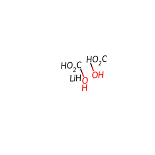 O=C(O)O.O=C(O)O.[LiH]